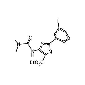 CCOC(=O)c1nc(-c2cccc(I)c2)sc1NC(=O)N(C)C